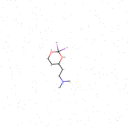 CN(C)CCC1CCOC(I)(I)O1